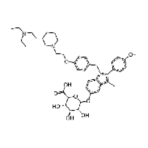 CCN(CC)CC.Cc1c(-c2ccc(O)cc2)n(Cc2ccc(OCCN3CCCCC3)cc2)c2ccc(OC3O[C@H](C(=O)O)[C@@H](O)[C@H](O)[C@H]3O)cc12